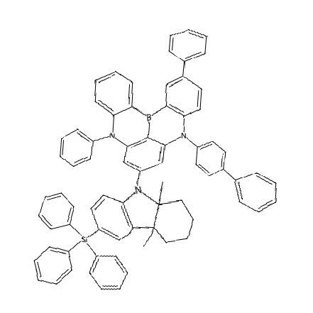 CC12CCCCC1(C)N(c1cc3c4c(c1)N(c1ccc(-c5ccccc5)cc1)c1ccc(-c5ccccc5)cc1B4c1ccccc1N3c1ccccc1)c1ccc([Si](c3ccccc3)(c3ccccc3)c3ccccc3)cc12